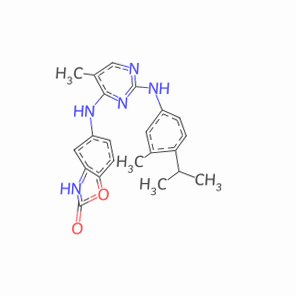 Cc1cc(Nc2ncc(C)c(Nc3ccc4oc(=O)[nH]c4c3)n2)ccc1C(C)C